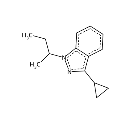 CCC(C)n1nc(C2CC2)c2ccccc21